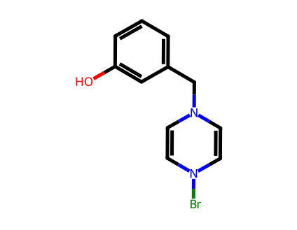 Oc1cccc(CN2C=CN(Br)C=C2)c1